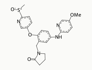 COc1ccc(Nc2ccc(Oc3ccc([S+](C)[O-])nc3)c(CN3CCCC3=O)c2)nc1